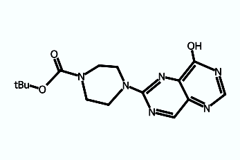 CC(C)(C)OC(=O)N1CCN(c2ncc3ncnc(O)c3n2)CC1